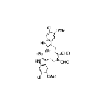 CCCCc1[nH]c2cc(Cl)c(OC)cc2c1CCN(C=O)N(C=O)CCc1c(CCC)[nH]c2cc(Cl)c(OC)cc12